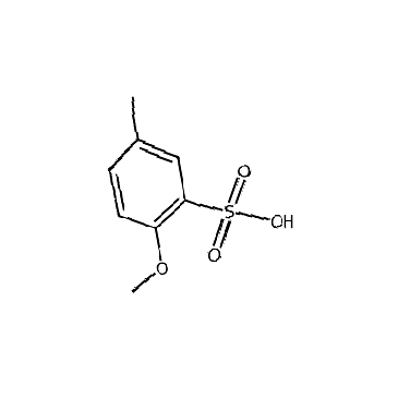 COc1ccc(C)cc1S(=O)(=O)O